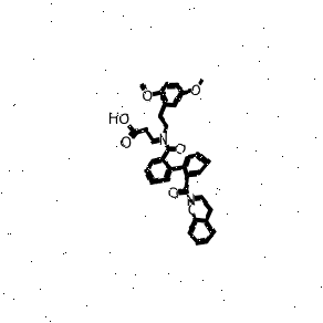 COc1ccc(OC)c(CCN(CCC(=O)O)C(=O)c2ccccc2-c2ccccc2C(=O)N2CCc3ccccc3C2)c1